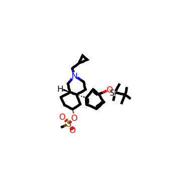 CC(C)(C)[Si](C)(C)Oc1cccc([C@@]23CCN(CC4CC4)C[C@H]2CC[C@@H](OS(C)(=O)=O)C3)c1